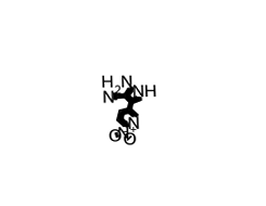 N#Cc1c(-c2ccc([N+](=O)[O-])nc2)c[nH]c1N